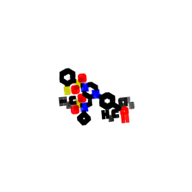 C[C@@](O)(c1ccc(N2CCN(S(=O)(=O)C3=CC=CCC3=S)C[C@@H]2CN(C2CCC2)S(C)(=O)=O)cc1)C(F)(F)F